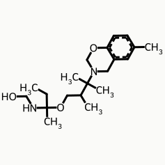 CCC(C)(NCO)OCC(C)C(C)(C)N1COc2ccc(C)cc2C1